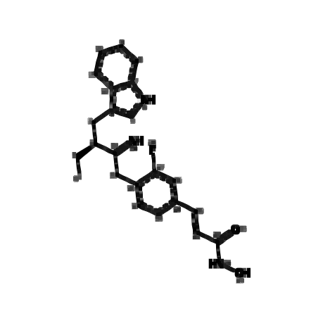 CC[C@@H](Cc1c[nH]c2ccccc12)C(=N)Cc1ccc(/C=C/C(=O)NO)cc1F